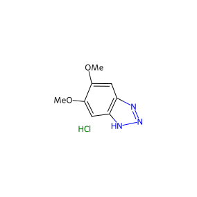 COc1cc2nn[nH]c2cc1OC.Cl